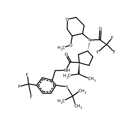 COC1COCCC1N(C(=O)C(F)(F)F)[C@@H]1CC[C@@](C(=O)NCc2cc(C(F)(F)F)ccc2SC(C)(C)C)(C(C)C)C1